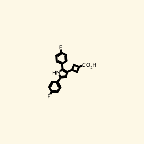 O=C(O)C1CC(c2cc(-c3ccc(F)cc3)[nH]c2-c2ccc(F)cc2)C1